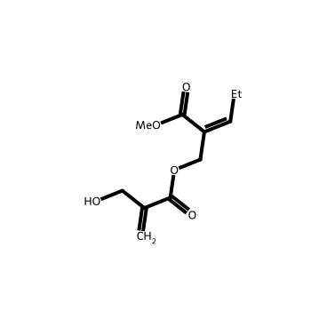 C=C(CO)C(=O)OCC(=CCC)C(=O)OC